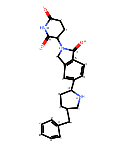 O=C1CCC(N2Cc3cc(C4CCC(Cc5ccccc5)CN4)ccc3C2=O)C(=O)N1